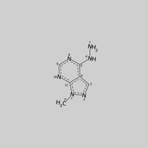 Cn1ncc2c(NN)ncnc21